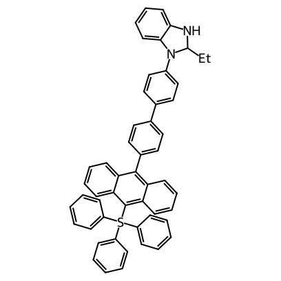 CCC1Nc2ccccc2N1c1ccc(-c2ccc(-c3c4ccccc4c(S(c4ccccc4)(c4ccccc4)c4ccccc4)c4ccccc34)cc2)cc1